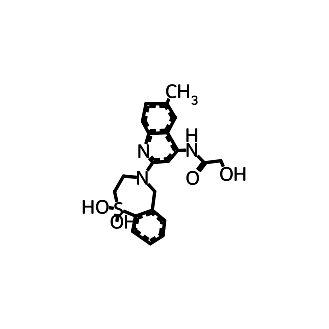 Cc1ccc2nc(N3CCS(O)(O)c4ccccc4C3)cc(NC(=O)CO)c2c1